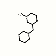 CN1CCOC(CI2CCCCC2)C1